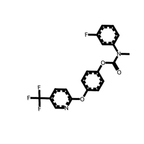 CN(C(=O)Oc1ccc(Oc2ccc(C(F)(F)F)cn2)cc1)c1cccc(F)c1